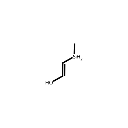 C[SiH2]C=CO